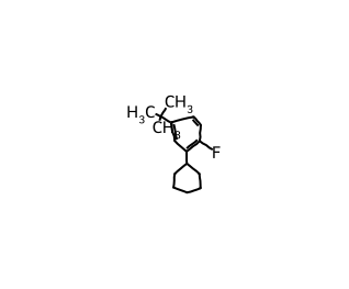 CC(C)(C)c1ccc(F)c(C2CCCCC2)c1